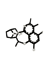 Cc1nc2c3c(c(Cl)cc(F)c3c1C)OC(C)C1C3CCC(CN21)N3C(=O)O